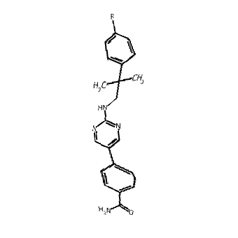 CC(C)(CNc1ncc(-c2ccc(C(N)=O)cc2)cn1)c1ccc(F)cc1